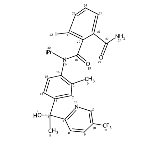 Cc1cc(C(C)(O)c2ccc(C(F)(F)F)cn2)ccc1N(C(=O)c1c(I)cccc1C(N)=O)C(C)C